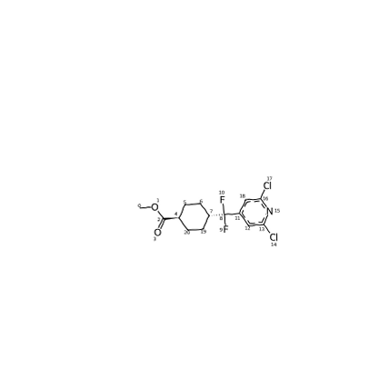 COC(=O)[C@H]1CC[C@H](C(F)(F)c2cc(Cl)nc(Cl)c2)CC1